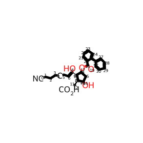 N#CCCCCCC=C(O)[C@H]1[C@H](CC(=O)O)[C@H](O)C[C@@H]1OC(=O)c1ccccc1-c1ccccc1